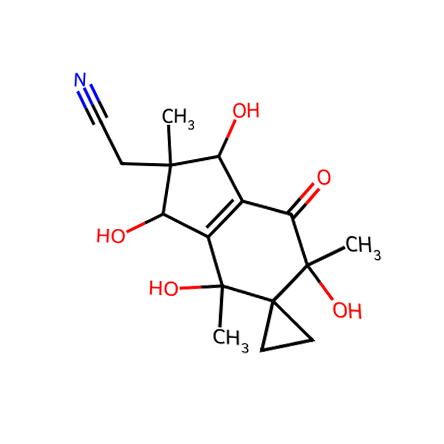 CC1(CC#N)C(O)C2=C(C1O)C(C)(O)C1(CC1)C(C)(O)C2=O